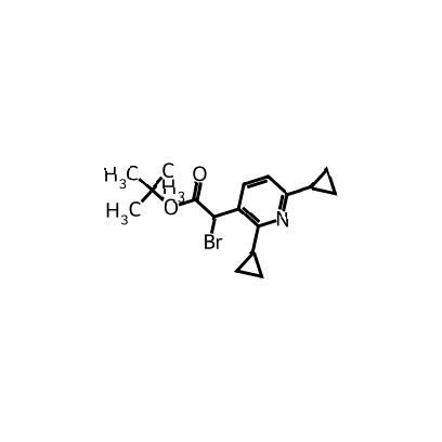 CC(C)(C)OC(=O)C(Br)c1ccc(C2CC2)nc1C1CC1